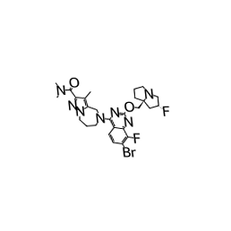 Cc1c(C(=O)N(C)C)nn2c1CN(c1nc(OC[C@@]34CCCN3C[C@H](F)C4)nc3c(F)c(Br)ccc13)CCC2